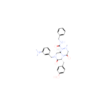 C[C@@H]1[C@H]2N(C(=O)CN(C)N2C(=O)NCc2ccccc2)[C@@H](Cc2ccc(O)cc2)C(=O)N1Cc1cccc(N(C)C)c1